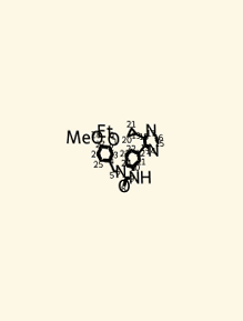 CCOc1cc(Cn2c(=O)[nH]c3cc(-c4nccnc4C4CC4)ccc32)ccc1OC